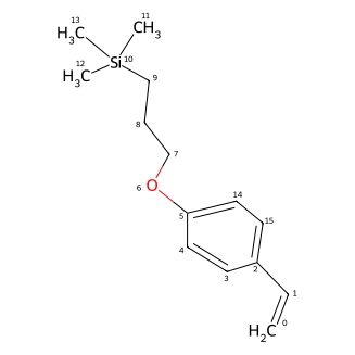 C=Cc1ccc(OCCC[Si](C)(C)C)cc1